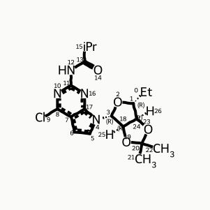 CC[C@H]1O[C@@H](n2ccc3c(Cl)nc(NC(=O)C(C)C)nc32)[C@@H]2OC(C)(C)O[C@@H]21